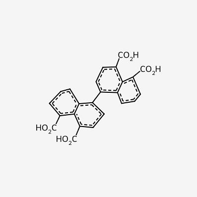 O=C(O)c1cccc2c(-c3ccc(C(=O)O)c4c(C(=O)O)cccc34)ccc(C(=O)O)c12